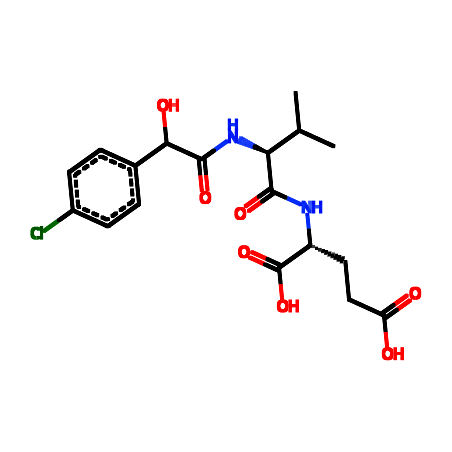 CC(C)[C@H](NC(=O)C(O)c1ccc(Cl)cc1)C(=O)N[C@H](CCC(=O)O)C(=O)O